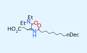 CCCCCCCCCCCCCCCCCC(=O)N[C@@H](CCC(=O)O)C(=O)N(CC)CC